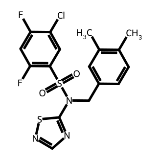 Cc1ccc(CN(c2ncns2)S(=O)(=O)c2cc(Cl)c(F)cc2F)cc1C